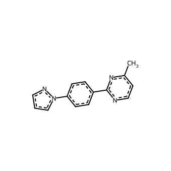 Cc1c[c]nc(-c2ccc(-n3cccn3)cc2)n1